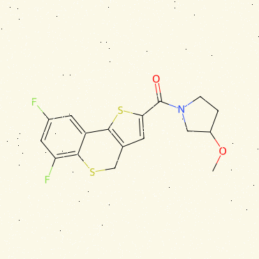 COC1CCN(C(=O)c2cc3c(s2)-c2cc(F)cc(F)c2SC3)C1